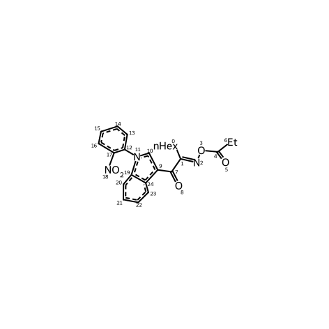 CCCCCC/C(=N\OC(=O)CC)C(=O)c1cn(-c2ccccc2[N+](=O)[O-])c2ccccc12